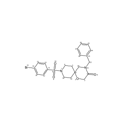 O=C1COC2(CCN(S(=O)(=O)c3ccc(Br)cc3)CC2)CN1Cc1ccccc1